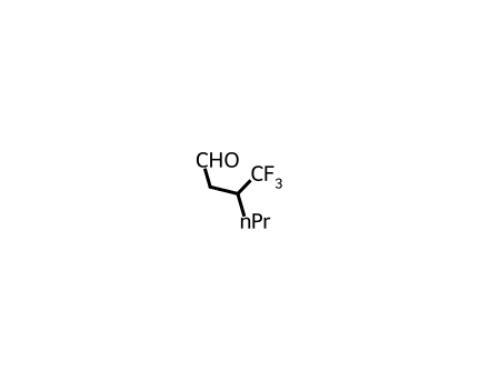 CCCC(CC=O)C(F)(F)F